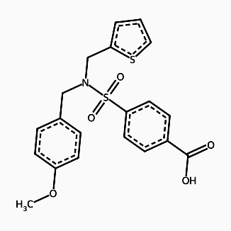 COc1ccc(CN(Cc2cccs2)S(=O)(=O)c2ccc(C(=O)O)cc2)cc1